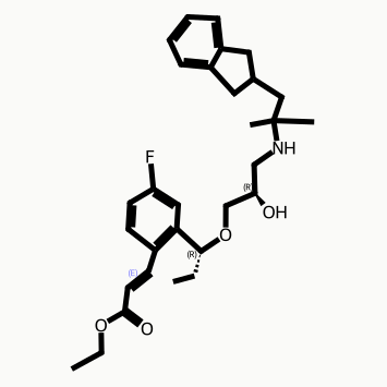 CCOC(=O)/C=C/c1ccc(F)cc1[C@@H](CC)OC[C@H](O)CNC(C)(C)CC1Cc2ccccc2C1